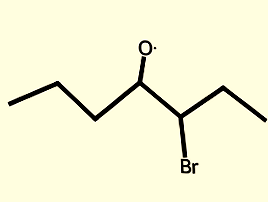 CCCC([O])C(Br)CC